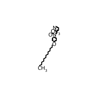 CCCCCCCCCCCCCCOc1ccc(N(Cc2cccnc2)C(C)=O)cc1